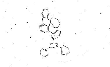 c1ccc(-c2cc(-c3ccccc3)nc(-c3cccc(-c4cccc5c4C4(CCCCC4)c4ccccc4-5)c3)n2)cc1